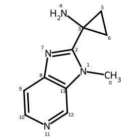 Cn1c(C2(N)CC2)nc2ccncc21